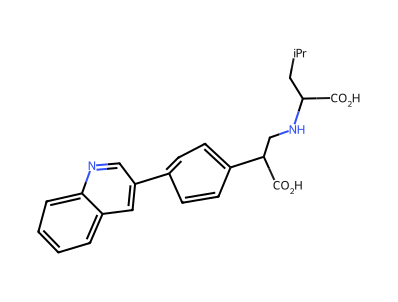 CC(C)CC(NCC(C(=O)O)c1ccc(-c2cnc3ccccc3c2)cc1)C(=O)O